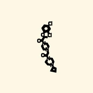 CC(Oc1ccc(Cl)cc1Cl)C(=O)N1CCN(CC(=O)N2CCN(C3CCC3)CC2)CC1